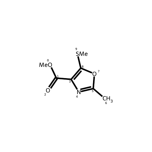 COC(=O)c1nc(C)oc1SC